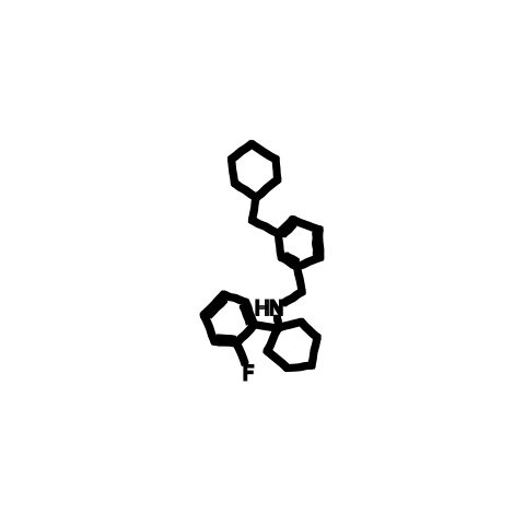 Fc1ccccc1C1(NCc2cccc(CC3CCCCC3)c2)CCCCC1